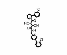 O=C(NCc1ccc(-c2ccccc2Cl)cn1)[C@H](O)[C@@H](O)C(=O)N1CCCC1c1cccc(Cl)c1